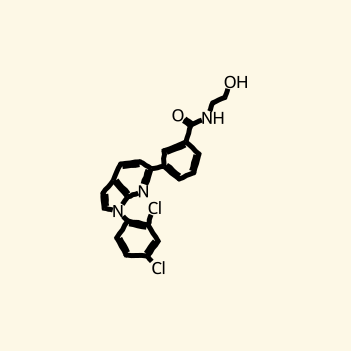 O=C(NCCO)c1cccc(-c2ccc3ccn(-c4ccc(Cl)cc4Cl)c3n2)c1